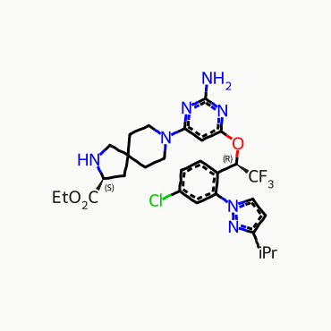 CCOC(=O)[C@@H]1CC2(CCN(c3cc(O[C@H](c4ccc(Cl)cc4-n4ccc(C(C)C)n4)C(F)(F)F)nc(N)n3)CC2)CN1